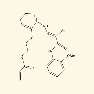 C=CC(=O)OCCOc1ccccc1N/N=C(\C(C)=O)C(=O)Nc1ccccc1OC